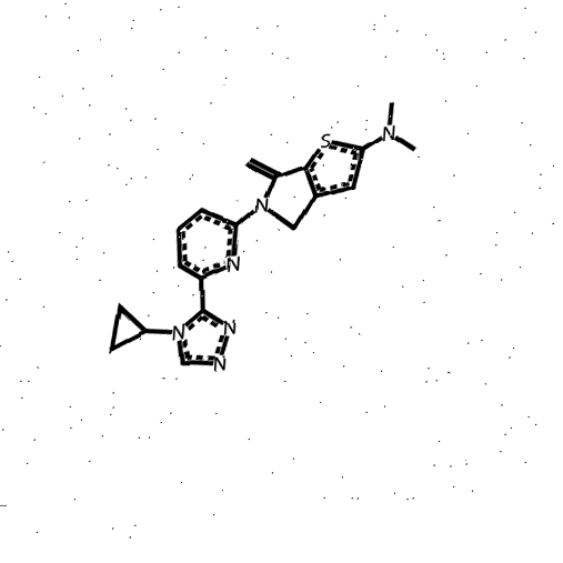 C=C1c2sc(N(C)C)cc2CN1c1cccc(-c2nncn2C2CC2)n1